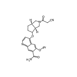 CC(C)Oc1cc2c(OC3CC[C@@H]4CN(C(=O)CC#N)C[C@H]34)ccnc2cc1C(N)=O